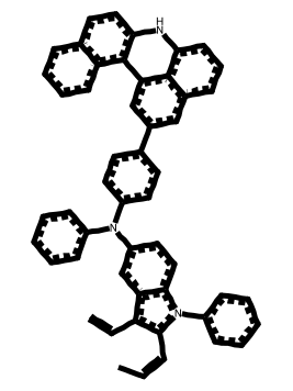 C=Cc1c(/C=C\C)n(-c2ccccc2)c2ccc(N(c3ccccc3)c3ccc(-c4cc5c6c(cccc6c4)Nc4ccc6ccccc6c4-5)cc3)cc12